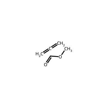 C=C=C.COC=O